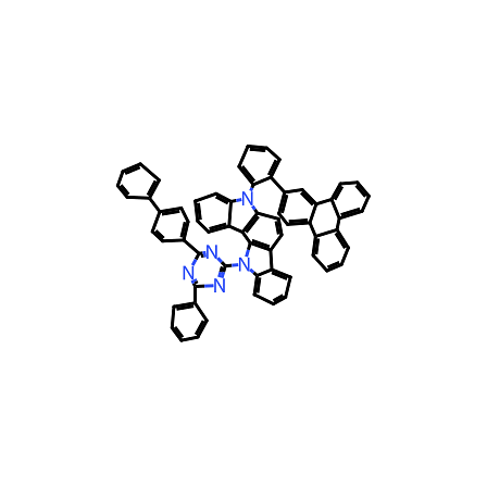 c1ccc(-c2ccc(-c3nc(-c4ccccc4)nc(-n4c5ccccc5c5ccc6c(c7ccccc7n6-c6ccccc6-c6ccc7c8ccccc8c8ccccc8c7c6)c54)n3)cc2)cc1